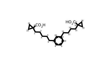 O=C(O)C1(CCCCCc2cccc(CCCCC3(C(=O)O)CC3)c2)CC1